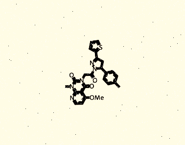 COc1ccnc2c1c(=O)n(CC(=O)N1N=C(c3cccs3)CC1c1ccc(C)cc1)c(=O)n2C